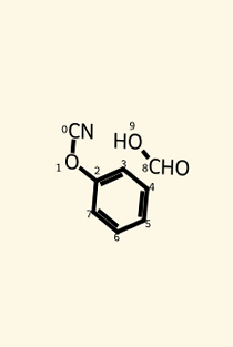 N#COc1ccccc1.O=CO